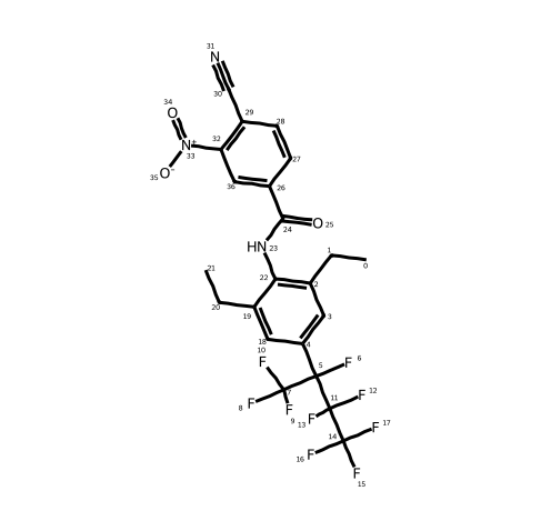 CCc1cc(C(F)(C(F)(F)F)C(F)(F)C(F)(F)F)cc(CC)c1NC(=O)c1ccc(C#N)c([N+](=O)[O-])c1